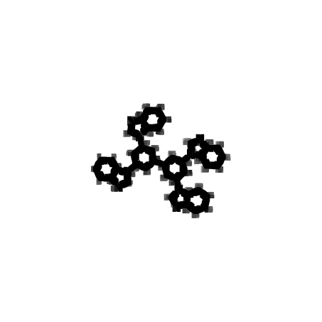 c1ccc2c(c1)ncn2-c1cc(-c2cc(-n3cnc4ccccc43)cc(-n3cnc4ccccc43)c2)cc(-n2cnc3ccccc32)c1